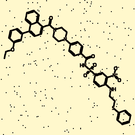 CCOc1cccc(-c2ccc(C(=O)N3CCN(c4ccc(C(=O)NS(=O)(=O)c5ccc(NCCSc6ccccc6)c([N+](=O)[O-])c5)cc4)CC3)c3ccccc23)c1